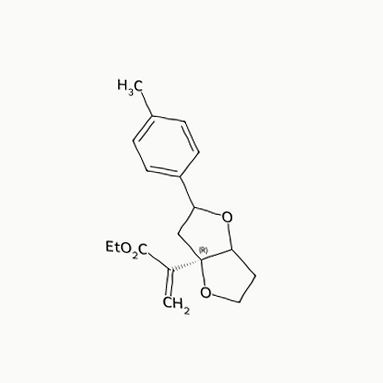 C=C(C(=O)OCC)[C@]12CC(c3ccc(C)cc3)OC1CCO2